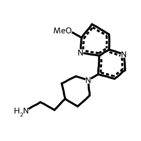 COc1ccc2nccc(N3CCC(CCN)CC3)c2n1